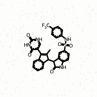 CC1=C(c2c[nH]c(=O)[nH]c2=O)c2ccccc2C1C1C(=O)Nc2ccc(S(=O)(=O)Nc3ccc(C(F)(F)F)cc3)cc21